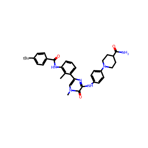 Cc1c(NC(=O)c2ccc(C(C)(C)C)cc2)cccc1-c1cn(C)c(=O)c(Nc2ccc(N3CCC(C(N)=O)CC3)cc2)n1